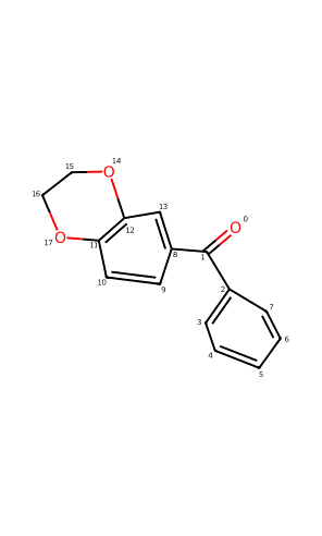 O=C(c1ccccc1)c1ccc2c(c1)OCCO2